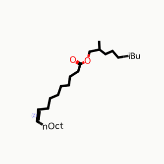 CCCCCCCC/C=C\CCCCCCCC(=O)OCC(C)CCCC(C)CC